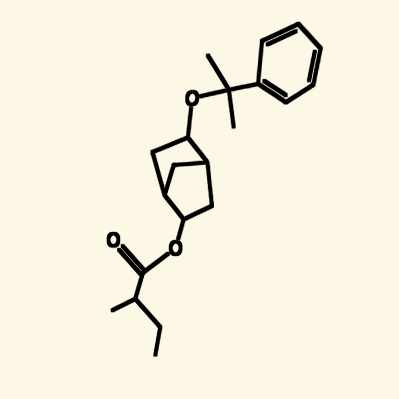 CCC(C)C(=O)OC1CC2CC1CC2OC(C)(C)c1ccccc1